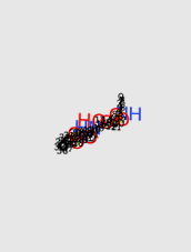 CCCCCNS(=O)(=O)c1cccc(OCC(O)CNC2COC3(CCN(S(=O)(=O)c4ccc5ccccc5c4)CC3)C2)c1